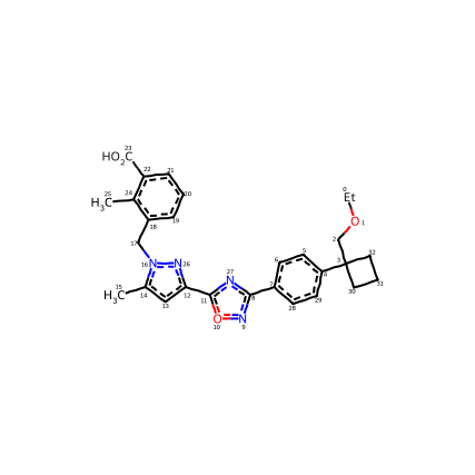 CCOCC1(c2ccc(-c3noc(-c4cc(C)n(Cc5cccc(C(=O)O)c5C)n4)n3)cc2)CCC1